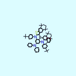 CC(C)(C)c1ccc(N2c3cc(N(c4ccccc4)c4ccccc4)cc4c3B(c3cc5c(cc3N4c3ccc(C(C)(C)C)cc3-c3ccccc3)C(C)(C)CCC5(C)C)c3c2sc2cc4c(cc32)C(C)(C)CCC4(C)C)cc1